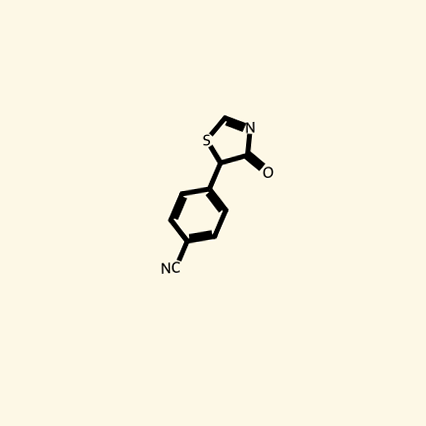 N#Cc1ccc(C2SC=NC2=O)cc1